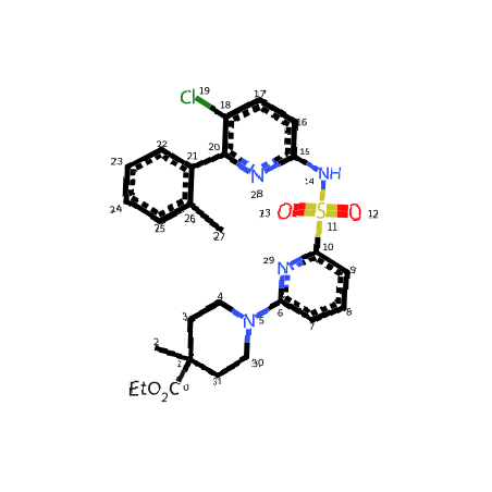 CCOC(=O)C1(C)CCN(c2cccc(S(=O)(=O)Nc3ccc(Cl)c(-c4ccccc4C)n3)n2)CC1